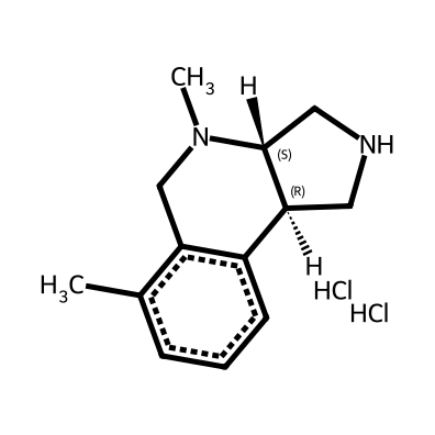 Cc1cccc2c1CN(C)[C@@H]1CNC[C@@H]21.Cl.Cl